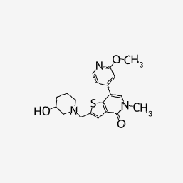 COc1cc(-c2cn(C)c(=O)c3cc(CN4CCCC(O)C4)sc23)ccn1